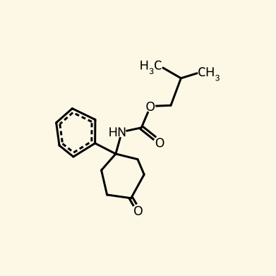 CC(C)COC(=O)NC1(c2ccccc2)CCC(=O)CC1